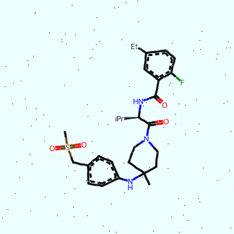 CCc1ccc(F)c(C(=O)N[C@@H](C(=O)N2CCC(C)(Nc3ccc(CS(C)(=O)=O)cc3)CC2)C(C)C)c1